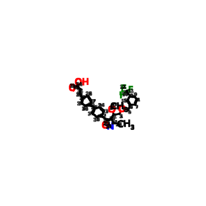 COC(COCc1cccc(C(F)(F)F)c1)c1c(C)noc1-c1ccc(-c2ccc(CCC(=O)O)cc2)cc1